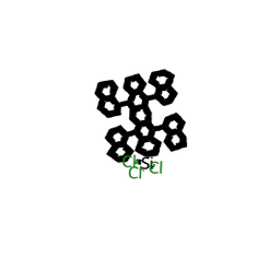 Cl[Si](Cl)(Cl)c1ccc2c(-c3cccc4ccccc34)c3cc4c(-c5cccc6ccccc56)c5ccccc5c(-c5cccc6ccccc56)c4cc3c(-c3cccc4ccccc34)c2c1